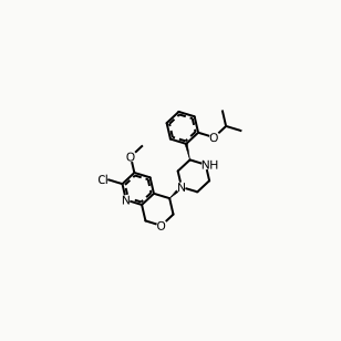 COc1cc2c(nc1Cl)COC[C@@H]2N1CCN[C@H](c2ccccc2OC(C)C)C1